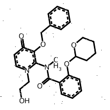 CN(C(=O)c1ccccc1OC1CCCCO1)c1c(OCc2ccccc2)c(=O)ccn1CCO